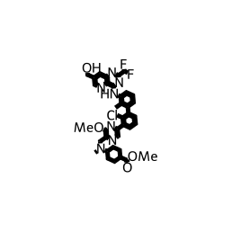 COC(=O)C1CCC(N(C)Cc2ncc(-c3cccc(-c4cccc(Nc5nc(C(F)F)nc6cc(CO)cnc56)c4C)c3Cl)nc2OC)CC1